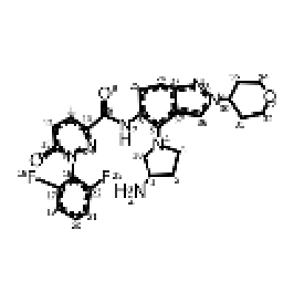 N[C@@H]1CCN(c2c(NC(=O)c3ccc(=O)n(-c4c(F)cccc4F)n3)ccc3nn(C4CCOCC4)cc23)C1